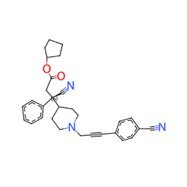 N#Cc1ccc(C#CCN2CCC([C@@](C#N)(CC(=O)OC3CCCC3)c3ccccc3)CC2)cc1